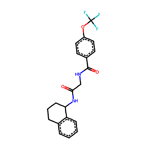 O=C(CNC(=O)c1ccc(OC(F)(F)F)cc1)NC1CCCc2ccccc21